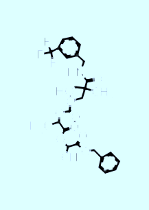 CC(OC(=O)OCC(C)(CO)C(=O)NCc1cccc(C(F)(F)F)c1)C(=O)OC(C)C(=O)OCc1ccccc1